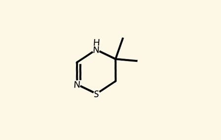 CC1(C)CSN=CN1